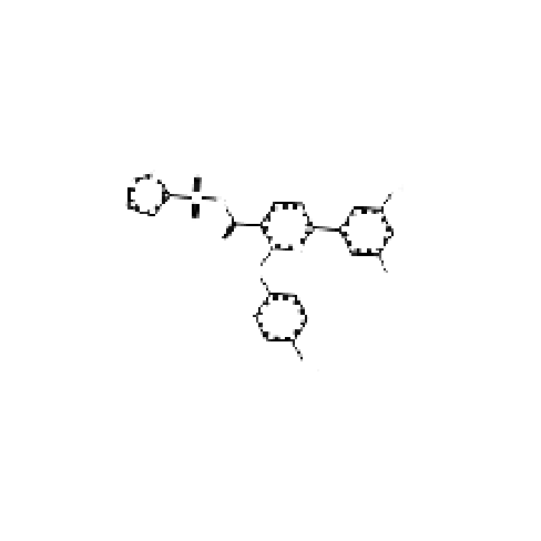 Cc1ccc(Oc2nc(-c3cc(F)cc(OCC(C)C)c3)ccc2C(=O)NS(=O)(=O)c2ccn[nH]2)cc1